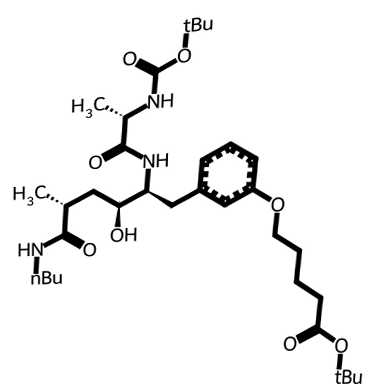 CCCCNC(=O)[C@H](C)C[C@H](O)[C@H](Cc1cccc(OCCCCC(=O)OC(C)(C)C)c1)NC(=O)[C@H](C)NC(=O)OC(C)(C)C